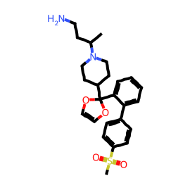 CC(CCN)N1CCC(C2(c3ccccc3-c3ccc(S(C)(=O)=O)cc3)OC=CO2)CC1